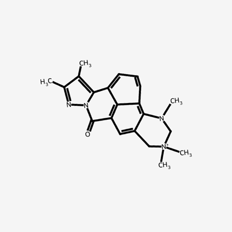 Cc1nn2c(=O)c3cc4c(c5cccc(c53)c2c1C)N(C)C[N+](C)(C)C4